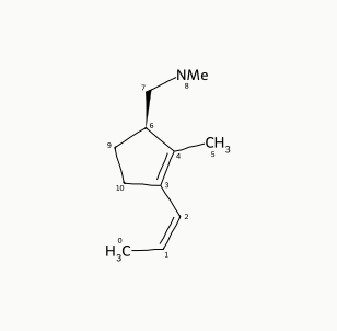 C/C=C\C1=C(C)[C@H](CNC)CC1